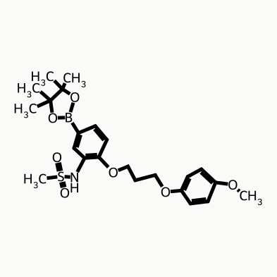 COc1ccc(OCCCOc2ccc(B3OC(C)(C)C(C)(C)O3)cc2NS(C)(=O)=O)cc1